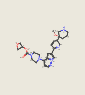 CCO[C@]1(C2C=CC(c3cc4c(N5CCN(C(=O)OC6COC6)CC5)ccnn4c3)=NC2)CCCNC1